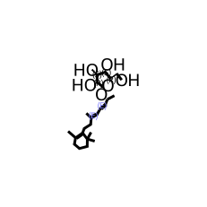 CC1=C(CC/C(C)=C/C=C/C(C)OC2O[C@H](CO)[C@@H](O)[C@H](O)[C@H]2O)C(C)(C)CCC1